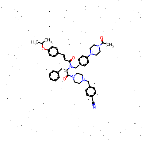 CC(=O)N1CCN(c2ccc(CN(C(=O)C=Cc3ccc(OC(C)C)cc3)[C@@H](Cc3ccccc3)C(=O)N3CCN(Cc4ccc(C#N)cc4)CC3)cc2)CC1